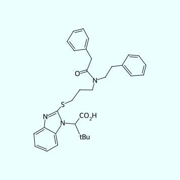 CC(C)(C)C(C(=O)O)n1c(SCCCN(CCc2ccccc2)C(=O)Cc2ccccc2)nc2ccccc21